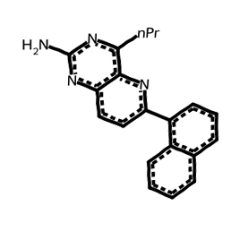 CCCc1nc(N)nc2ccc(-c3cccc4ccccc34)nc12